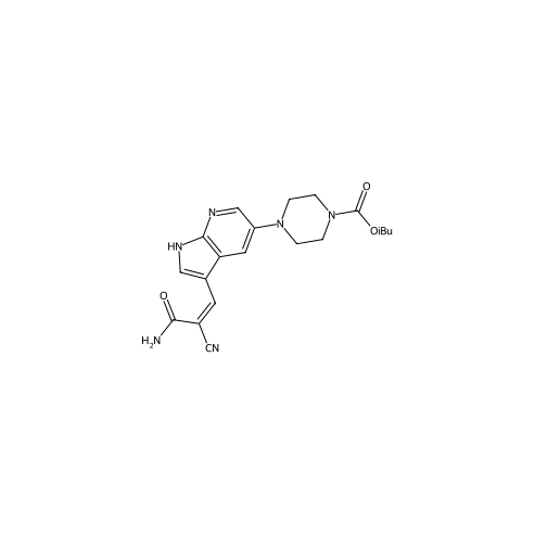 CC(C)COC(=O)N1CCN(c2cnc3[nH]cc(C=C(C#N)C(N)=O)c3c2)CC1